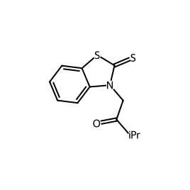 CC(C)C(=O)Cn1c(=S)sc2ccccc21